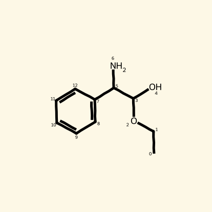 CCOC(O)C(N)c1ccccc1